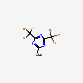 COc1nc(C(Br)(Br)Br)nc(C(Br)(Br)Br)n1